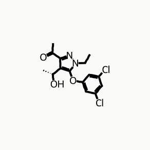 CCn1nc(C(C)=O)c([C@@H](C)O)c1Oc1cc(Cl)cc(Cl)c1